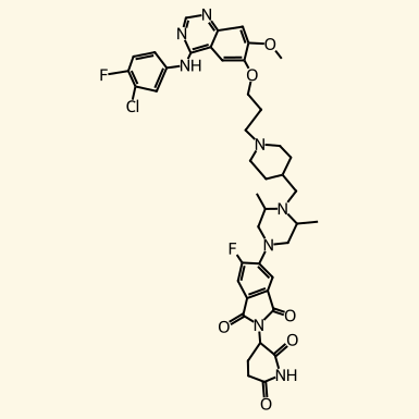 COc1cc2ncnc(Nc3ccc(F)c(Cl)c3)c2cc1OCCCN1CCC(CN2C(C)CN(c3cc4c(cc3F)C(=O)N(C3CCC(=O)NC3=O)C4=O)CC2C)CC1